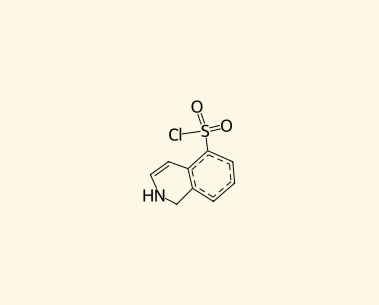 O=S(=O)(Cl)c1cccc2c1C=CNC2